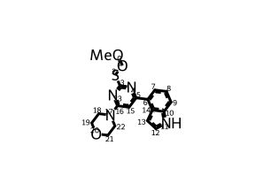 COOSc1nc(-c2cccc3[nH]ccc23)cc(N2CCOCC2)n1